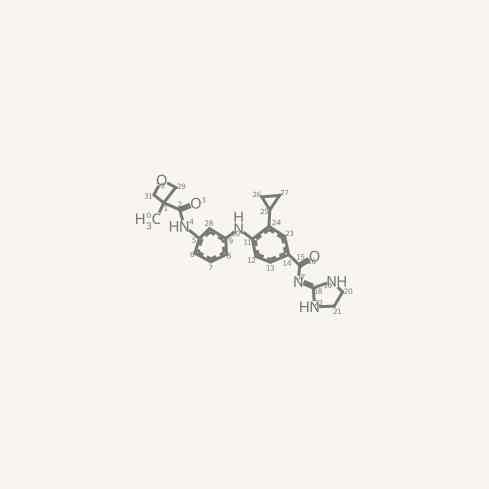 CC1(C(=O)Nc2cccc(Nc3ccc(C(=O)N=C4NCCN4)cc3C3CC3)c2)COC1